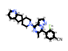 Cc1nc(N2CCC3(CC2)Cc2cccnc2C3)c2ccnn2c1-c1ccc(C#N)cc1F